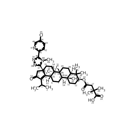 CC(C)C1=C2[C@H]3CC[C@@H]4[C@@]5(C)CC[C@H](OC(=O)CC(C)(C)C(=O)O)C(C)(C)[C@@H]5CC[C@@]4(C)[C@]3(C)CC[C@@]2(c2nnc(-c3ccc(Cl)cn3)n2C)CC1=O